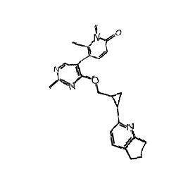 Cc1ncc(-c2ccc(=O)n(C)c2C)c(OCC2CC2c2ccc3c(n2)CCC3)n1